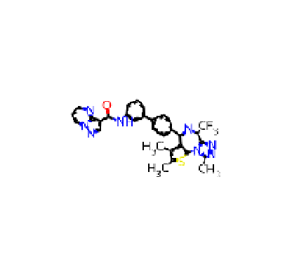 Cc1sc2c(c1C)C(c1ccc(-c3cccc(NC(=O)c4cnn5cccnc45)c3)cc1)=NC(C(F)(F)F)c1nnc(C)n1-2